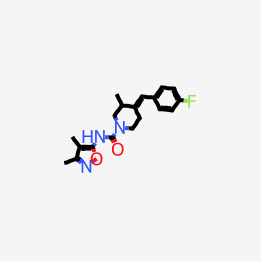 Cc1noc(NC(=O)N2CC/C(=C\c3ccc(F)cc3)C(C)C2)c1C